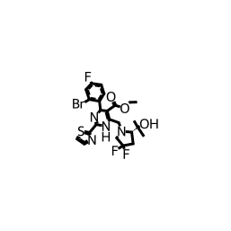 CCOC(=O)C1=C(CN2CC(F)(F)C[C@H]2C(C)(C)O)NC(c2nccs2)=NC1c1ccc(F)cc1Br